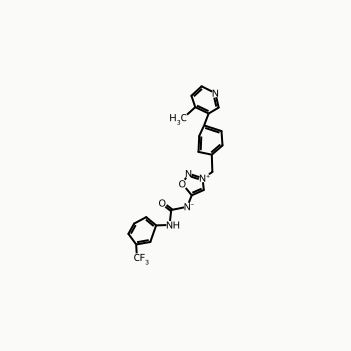 Cc1ccncc1-c1ccc(C[n+]2cc([N-]C(=O)Nc3cccc(C(F)(F)F)c3)on2)cc1